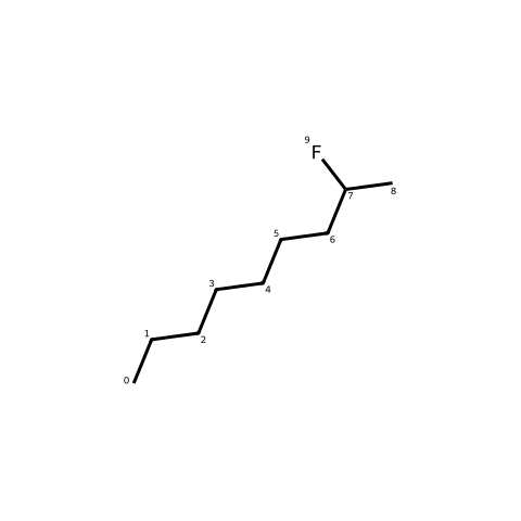 CCCCCCCC(C)F